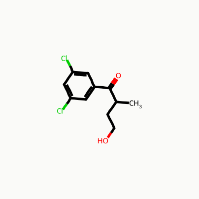 CC(CCO)C(=O)c1cc(Cl)cc(Cl)c1